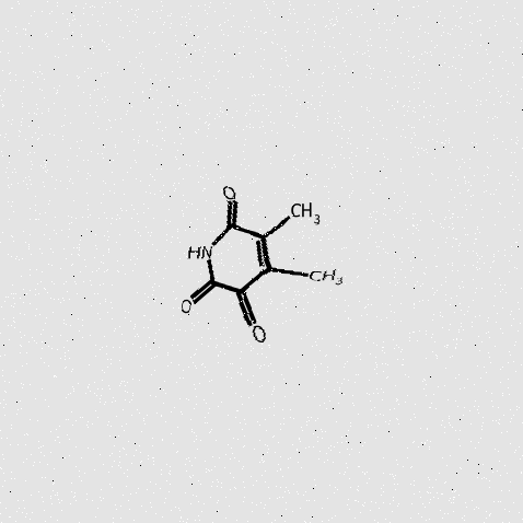 CC1=C(C)C(=O)C(=O)NC1=O